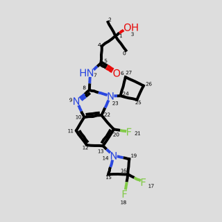 CC(C)(O)CC(=O)Nc1nc2ccc(N3CC(F)(F)C3)c(F)c2n1C1CCC1